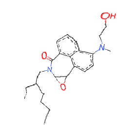 CCCCC(CC)CN1C(=O)c2cccc3c(N(C)CCO)ccc(c23)C2OC21